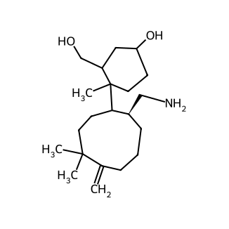 C=C1CCC[C@H](CN)C(C2(C)CCC(O)CC2CO)CCC1(C)C